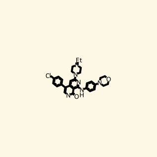 CCN1CCN(c2cc3c(c(Nc4ccc(N5CCOCC5)cc4)n2)C(=O)[N]C=C3c2ccc(Cl)cc2)CC1